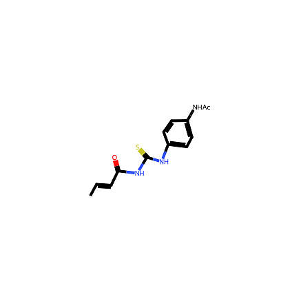 C/C=C/C(=O)NC(=S)Nc1ccc(NC(C)=O)cc1